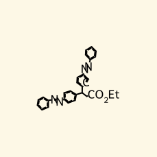 CCOC(=O)CC(c1ccc(/N=N/c2ccccc2)cc1)c1ccc(/N=N/c2ccccc2)cc1